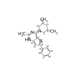 Cc1nc(N2CC(C)CC(C)C2)c2nc(-c3ccccc3)cc-2[nH]1